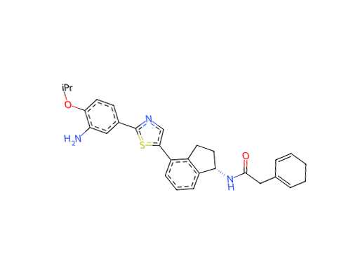 CC(C)Oc1ccc(-c2ncc(-c3cccc4c3CC[C@@H]4NC(=O)CC3=CCCC=C3)s2)cc1N